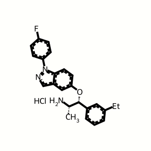 CCc1cccc([C@@H](Oc2ccc3c(cnn3-c3ccc(F)cc3)c2)[C@H](C)N)c1.Cl